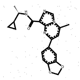 Cc1cc(-c2ccc3c(c2)OCO3)nc2c(C(=O)N[C@@H](C)C3CC3)ncn12